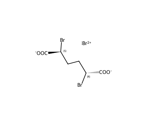 O=C([O-])[C@H](Br)CC[C@H](Br)C(=O)[O-].[Br+2]